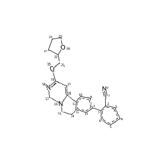 N#Cc1ccccc1-c1ccc2c(c1)CCN1CN=C(OCC3CCCO3)C=C21